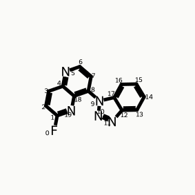 Fc1ccc2nccc(-n3nnc4ccccc43)c2n1